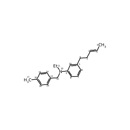 CC=CCCc1cccc(N(CC)Cc2ccc(C)cc2)c1